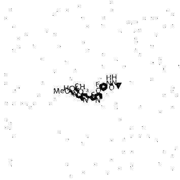 COCCN(Cc1ccc(-c2cc3nccc(Oc4ccc(NC(=O)NC5CC5)cc4F)c3s2)nc1)C(=O)[C@H](C)O